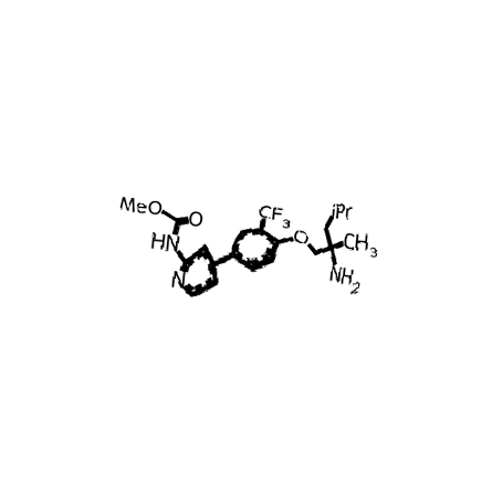 COC(=O)Nc1cc(-c2ccc(OCC(C)(N)CC(C)C)c(C(F)(F)F)c2)ccn1